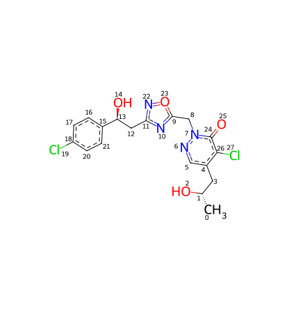 C[C@H](O)Cc1cnn(Cc2nc(C[C@H](O)c3ccc(Cl)cc3)no2)c(=O)c1Cl